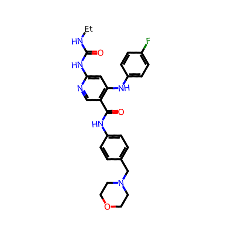 CCNC(=O)Nc1cc(Nc2ccc(F)cc2)c(C(=O)Nc2ccc(CN3CCOCC3)cc2)cn1